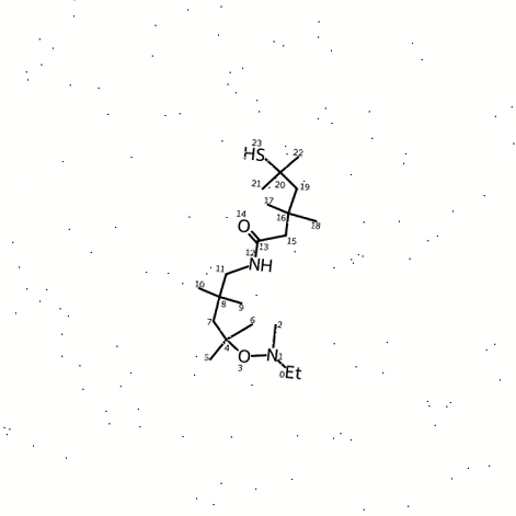 CCN(C)OC(C)(C)CC(C)(C)CNC(=O)CC(C)(C)CC(C)(C)S